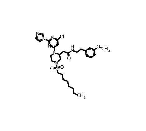 CCCCCCCCS(=O)(=O)N1CCN(c2cc(Cl)nc(-n3ccnc3)n2)C(CC(=O)NCCc2cccc(OC)c2)C1